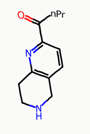 CCCC(=O)c1ccc2c(n1)CCNC2